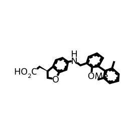 COc1c(CNc2ccc3c(c2)OC[C@H]3CC(=O)O)cccc1-c1c(C)cccc1C